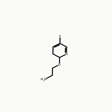 NCCOC1CC=C(F)C=N1